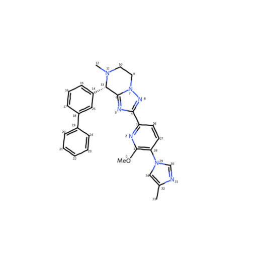 COc1nc(-c2nc3n(n2)CCN(C)[C@H]3c2cccc(-c3ccccc3)c2)ccc1-n1cnc(C)c1